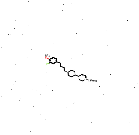 CCCCC[Si@H]1CC[C@H]([C@H]2CC[C@H](CCCCc3ccc(OC(F)(F)F)c(F)c3)CC2)CC1